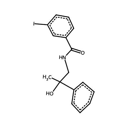 CC(O)(CNC(=O)c1cccc(I)c1)c1ccccc1